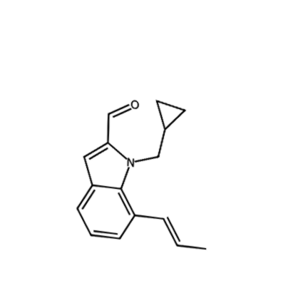 CC=Cc1cccc2cc(C=O)n(CC3CC3)c12